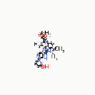 CC(C)c1ccc(N2C[C@H](CS(C)(=O)=O)[C@H]2C)c2cnc(Nc3ccnc(N4CCC[C@H](O)C4)c3)nc12